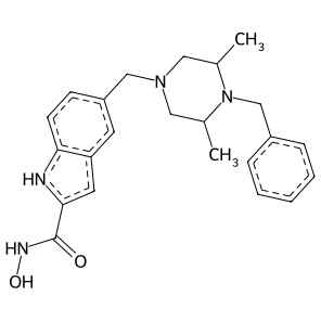 CC1CN(Cc2ccc3[nH]c(C(=O)NO)cc3c2)CC(C)N1Cc1ccccc1